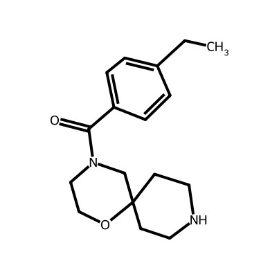 CCc1ccc(C(=O)N2CCOC3(CCNCC3)C2)cc1